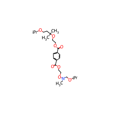 CC(C)OCCC(C)(C)OCCOC(=O)c1ccc(C(=O)OCCON(C)COC(C)C)cc1